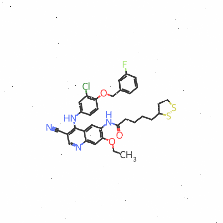 CCOc1cc2ncc(C#N)c(Nc3ccc(OCc4cccc(F)c4)c(Cl)c3)c2cc1NC(=O)CCCCC1CCSS1